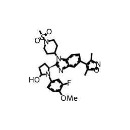 COc1ccc(N2C(O)CC[C@H]2c2nc3cc(-c4c(C)noc4C)ccc3n2C2CCN(S(C)(=O)=O)CC2)cc1F